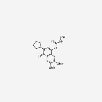 CCCCNC(=O)Oc1cn(C2CCCC2)c(=O)c2cc(OC)c(OC)cc12